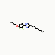 CCCCCCCCCc1cnc(-c2ccc(OCCCC)c(F)c2F)nc1